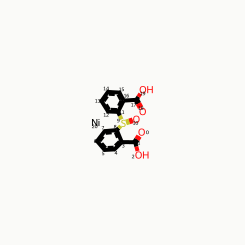 O=C(O)c1ccccc1S(=O)c1ccccc1C(=O)O.[Ni]